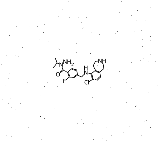 CC(C)N(N)C(=O)c1ccc(CNc2c(Cl)ccc3c2CCNCC3)cc1F